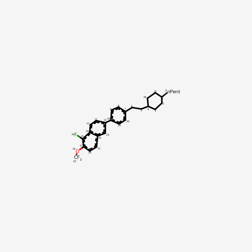 CCCCCC1CCC(CCc2ccc(-c3ccc4c(F)c(OC(F)(F)F)ccc4c3)cc2)CC1